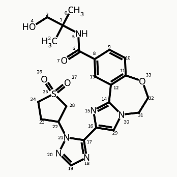 CC(C)(CO)NC(=O)c1ccc2c(c1)-c1nc(-c3ncnn3C3CCS(=O)(=O)C3)cn1CCO2